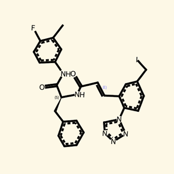 Cc1cc(NC(=O)[C@H](Cc2ccccc2)NC(=O)/C=C/c2cc(CI)ccc2-n2cnnn2)ccc1F